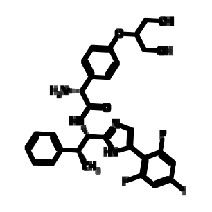 C[C@@H](c1ccccc1)[C@H](NC(=O)[C@H](N)c1ccc(OC(CO)CO)cc1)c1ncc(-c2c(F)cc(I)cc2F)[nH]1